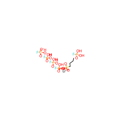 CCCCS(=O)(=O)O.O=P(O)(O)F.O=P(O)(O)F.O=P(O)(O)F.O=P(O)(O)F.O=P([O-])(O)F.[Li+]